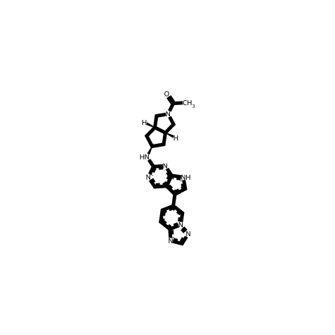 CC(=O)N1C[C@H]2C[C@H](Nc3ncc4c(-c5ccc6ncnn6c5)c[nH]c4n3)C[C@H]2C1